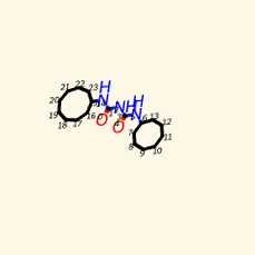 O=C(NC(=O)NC1CCCCCCC1)NC1CCCCCCCC1